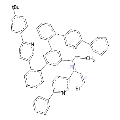 C=C/C(=C(\C=C/CC)c1ccc(-c2ccccc2)nc1)c1cc(-c2ccccc2-c2ccc(-c3ccccc3)nc2)cc(-c2ccccc2-c2ccc(-c3ccc(C(C)(C)C)cc3)nc2)c1